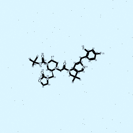 C[C@@H]1CN(CC(=O)N2CC(C)(C)c3cnc(Cc4ccc(F)cc4F)cc32)[C@@H](CN2CCOC2=O)CN1C(=O)OC(C)(C)C